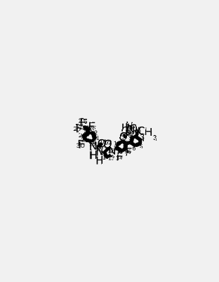 CC(O)c1cccc(-c2ccc(N3CC[C@@H](NC(=O)Nc4ccc(C(F)(F)F)cc4F)C3=O)c(F)c2F)c1[PH](C)=O